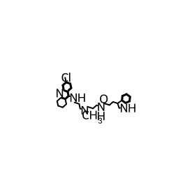 CN(CCCNC(=O)CCC1CNc2ccccc21)CCCNc1c2c(nc3cc(Cl)ccc13)CCCC2